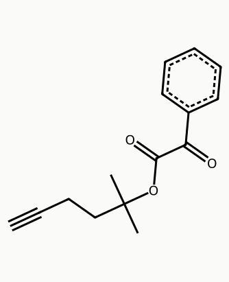 C#CCCC(C)(C)OC(=O)C(=O)c1ccccc1